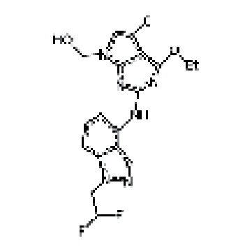 CCOc1nc(Nc2cccc3c2cnn3CC(F)F)nc2c1c(Cl)cn2CO